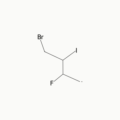 [CH2]C(F)C(I)CBr